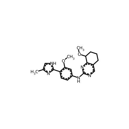 COc1cc(Nc2ncc3c(n2)C(OC)CCC3)ccc1-c1nc(C)c[nH]1